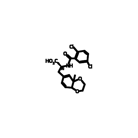 CC12C=C(C[C@H](NC(=O)c3cc(Cl)ccc3Cl)C(=O)O)C=CC1OCCO2